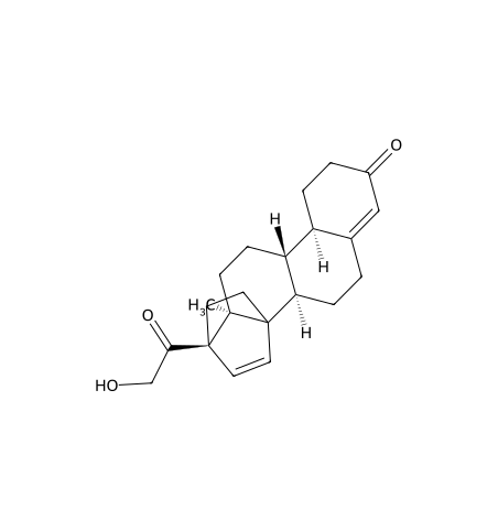 C[C@]12CC[C@H]3[C@@H](CCC4=CC(=O)CC[C@@H]43)C13C=C[C@]2(C(=O)CO)CC3